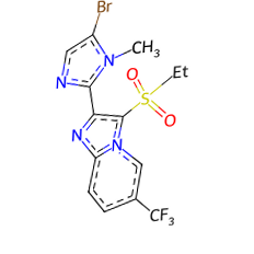 CCS(=O)(=O)c1c(-c2ncc(Br)n2C)nc2ccc(C(F)(F)F)cn12